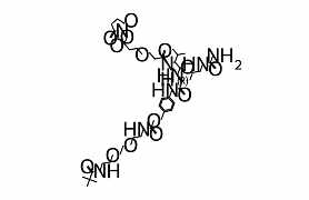 CC(C)C(NC(=O)CCOCCC(=O)ON1C(=O)CCC1=O)C(=O)N[C@H](CCCNC(N)=O)C(=O)Nc1ccc(COC(=O)NCCOCCOCCNC(=O)C(C)(C)C)cc1